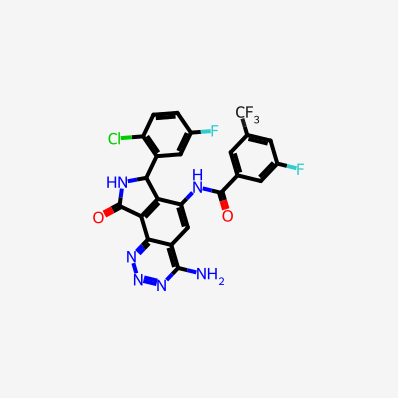 Nc1nnnc2c3c(c(NC(=O)c4cc(F)cc(C(F)(F)F)c4)cc12)C(c1cc(F)ccc1Cl)NC3=O